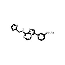 CC(=O)Nc1cccc(-c2cnc3c(NCc4ccco4)nccn23)c1